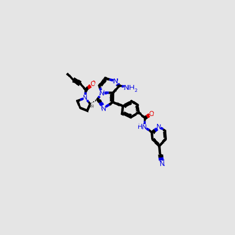 CC#CC(=O)N1CCC[C@H]1c1nc(-c2ccc(C(=O)Nc3cc(C#N)ccn3)cc2)c2c(N)nccn12